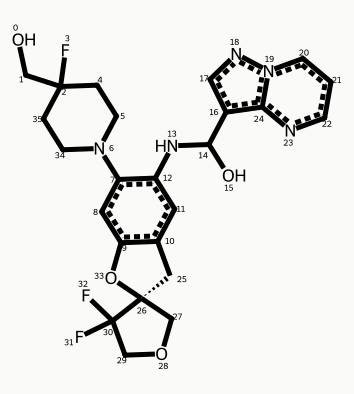 OCC1(F)CCN(c2cc3c(cc2NC(O)c2cnn4cccnc24)C[C@@]2(COCC2(F)F)O3)CC1